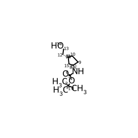 CC(C)(C)OC(=O)N[C@H]1CC[C@@H](CCO)C1